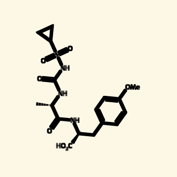 COc1ccc(C[C@H](NC(=O)[C@H](C)NC(=O)NS(=O)(=O)C2CC2)C(=O)O)cc1